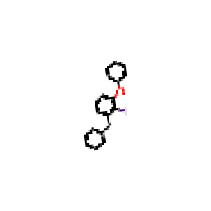 Ic1c(Cc2ccccc2)cccc1Oc1ccccc1